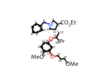 CCOC(=O)[C@@H]1CN(Cc2ccccc2)C[C@H]1CC(Oc1ccc(OC)c(OCCCOC)c1)C(C)C